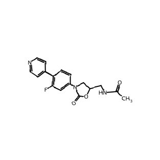 CC(=O)NCC1CN(c2ccc(-c3ccncc3)c(F)c2)C(=O)O1